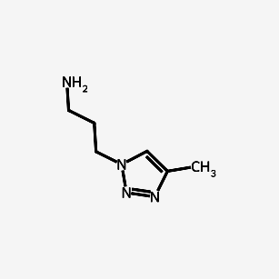 Cc1cn(CCCN)nn1